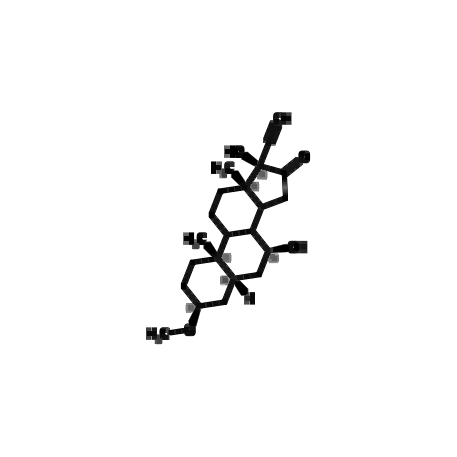 C#C[C@]1(O)C(=O)CC2C3C(CC[C@@]21C)[C@@]1(C)CC[C@H](OC)C[C@H]1C[C@@H]3O